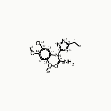 CCc1nnc(N(C(N)=O)c2cc(Cl)c(OC)cc2OC)s1